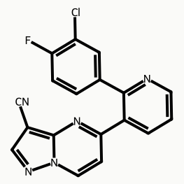 N#Cc1cnn2ccc(-c3cccnc3-c3ccc(F)c(Cl)c3)nc12